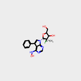 C[C@@]1(F)C(O)C(CO)O[C@H]1n1cc(-c2ccccc2)c2c(NO)ncnc21